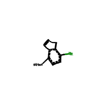 CCCCCCc1ccc(Br)c2c1C=CC2